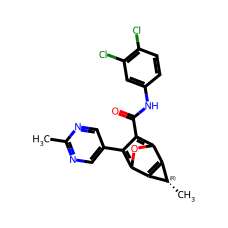 Cc1ncc(-c2c(C(=O)Nc3ccc(Cl)c(Cl)c3)c3oc2c2c3[C@@H]2C)cn1